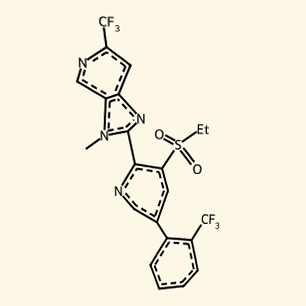 CCS(=O)(=O)c1cc(-c2ccccc2C(F)(F)F)cnc1-c1nc2cc(C(F)(F)F)ncc2n1C